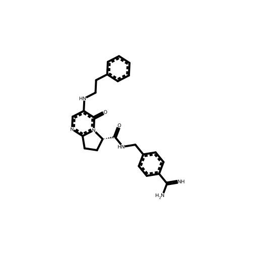 N=C(N)c1ccc(CNC(=O)[C@@H]2CCc3ncc(NCCc4ccccc4)c(=O)n32)cc1